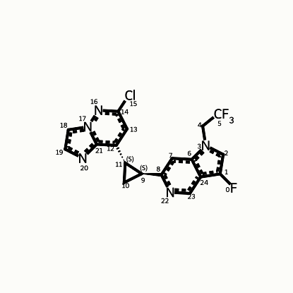 Fc1cn(CC(F)(F)F)c2cc([C@H]3C[C@@H]3c3cc(Cl)nn4ccnc34)ncc12